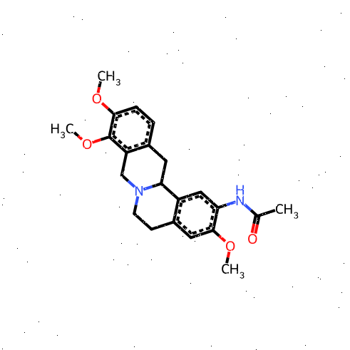 COc1cc2c(cc1NC(C)=O)C1Cc3ccc(OC)c(OC)c3CN1CC2